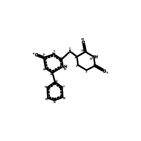 O=C1CCC(Sc2nc(=O)cc(-c3ccccc3)[nH]2)C(=O)N1